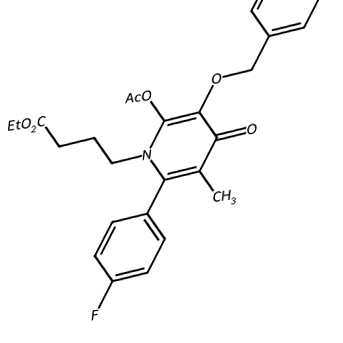 CCOC(=O)CCCn1c(OC(C)=O)c(OCc2ccccc2)c(=O)c(C)c1-c1ccc(F)cc1